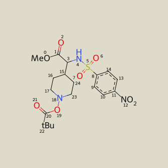 COC(=O)C(NS(=O)(=O)c1ccc([N+](=O)[O-])cc1)C1CCN(OC(=O)C(C)(C)C)CC1